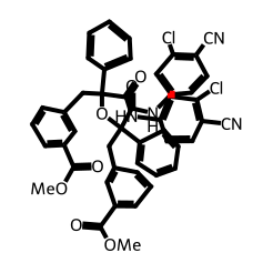 COC(=O)c1cccc(CC(OC(Cc2cccc(C(=O)OC)c2)(C(=O)Nc2ccc(C#N)c(Cl)c2)c2ccccc2)(C(=O)Nc2ccc(C#N)c(Cl)c2)c2ccccc2)c1